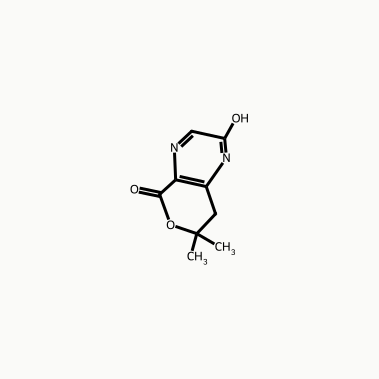 CC1(C)Cc2nc(O)cnc2C(=O)O1